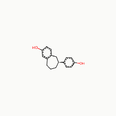 Oc1ccc([C@H]2CCCc3cc(O)ccc3C2)cc1